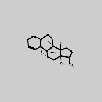 CC1CC[C@H]2[C@@H]3CCC4CCC=C[C@]4(C)[C@@H]3CC[C@]12C